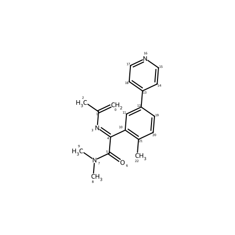 C=C(C)/N=C(/C(=O)N(C)C)c1cc(-c2ccncc2)ccc1C